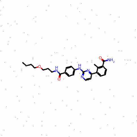 CCCCOCCCNC(=O)c1ccc(Nc2nccc(-c3cccc(C(N)=O)c3C)n2)cc1